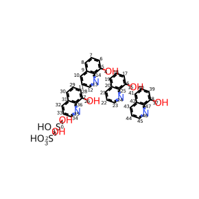 O=S(=O)(O)O.O=S(=O)(O)O.Oc1cccc2cccnc12.Oc1cccc2cccnc12.Oc1cccc2cccnc12.Oc1cccc2cccnc12